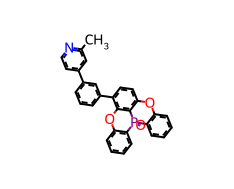 Cc1cc(-c2cccc(-c3ccc4c5c3Oc3ccccc3P5(=O)c3ccccc3O4)c2)ccn1